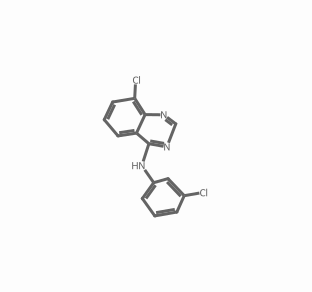 Clc1cccc(Nc2ncnc3c(Cl)cccc23)c1